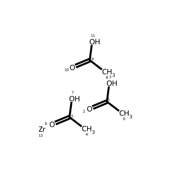 CC(=O)O.CC(=O)O.CC(=O)O.[Zr]